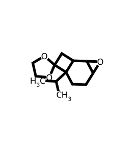 CC(C)C12CCC3OC3C1CC21OCCO1